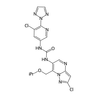 CC(C)OCc1c(NC(=O)Nc2cnc(-n3nccn3)c(Cl)c2)cnc2cc(Cl)nn12